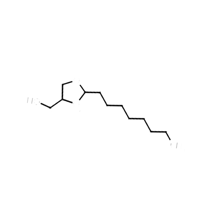 CCCCCCCCC1OCC(CO)O1